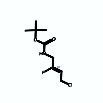 CC(C)(C)OC(=O)NC/C(F)=C/CCl